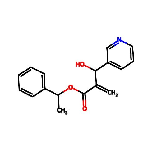 C=C(C(=O)OC(C)c1ccccc1)C(O)c1cccnc1